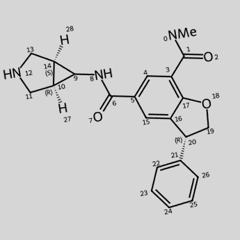 CNC(=O)c1cc(C(=O)NC2[C@H]3CNC[C@@H]23)cc2c1OC[C@@H]2c1ccccc1